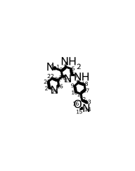 N#Cc1c(N)cc(Nc2ccc(-c3cnco3)cc2)nc1-c1cccnc1